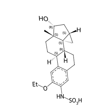 CCOc1cc2c(cc1NS(=O)(=O)O)CC[C@@H]1[C@@H]2CC[C@]2(C)[C@H](O)C[C@@H]3C[C@]312